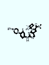 CC(C)N1CCN(c2ccc(Nc3ncc4cc(C(=O)N(C)C)n(C5(C(C)C)CC[C@H]5C)c4n3)cc2F)CC1